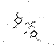 BC1C[C@@H](OC)[C@@H](COP(=O)(O)O[C@@H]2C[C@H](B)O[C@@H]2CC)O1